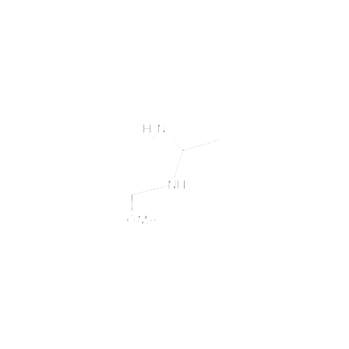 COCNC(C)N